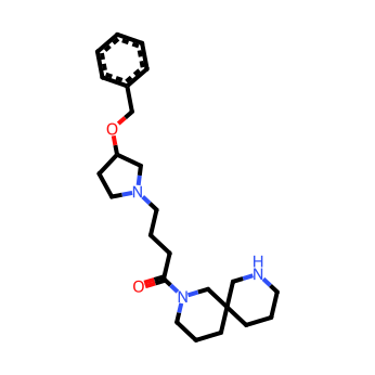 O=C(CCCN1CCC(OCc2ccccc2)C1)N1CCCC2(CCCNC2)C1